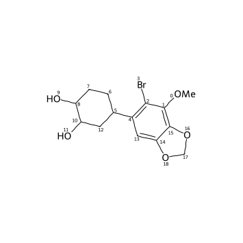 COc1c(Br)c(C2CCC(O)C(O)C2)cc2c1OCO2